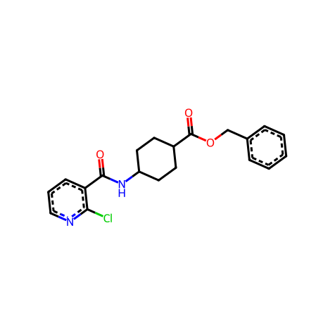 O=C(NC1CCC(C(=O)OCc2ccccc2)CC1)c1cccnc1Cl